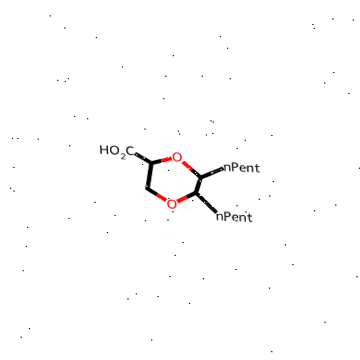 CCCCCC1OCC(C(=O)O)OC1CCCCC